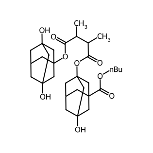 CCCCOC(=O)C12CC3CC(O)(CC(OC(=O)C(C)C(C)C(=O)OC45CC6CC(O)(CC(O)(C6)C4)C5)(C3)C1)C2